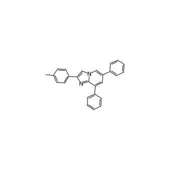 Cc1ccc(-c2cn3cc(-c4ccccc4)cc(-c4ccccc4)c3n2)cc1